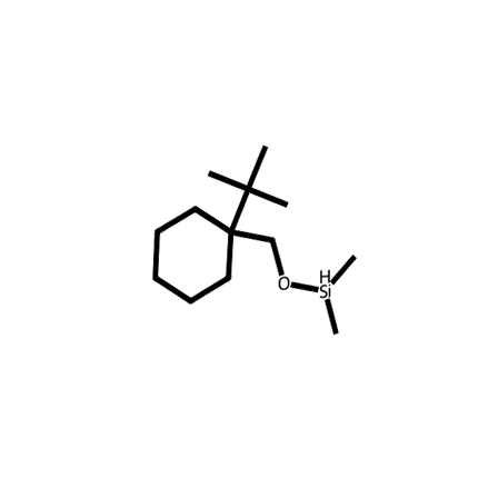 C[SiH](C)OCC1(C(C)(C)C)CCCCC1